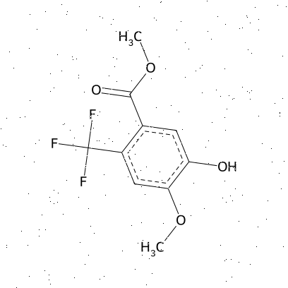 COC(=O)c1cc(O)c(OC)cc1C(F)(F)F